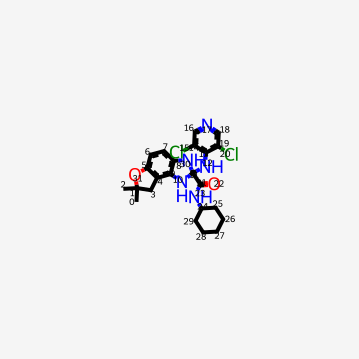 CC1(C)Cc2c(ccc3c2NC(Nc2c(Cl)cncc2Cl)(C(=O)NC2CCCCC2)N3)O1